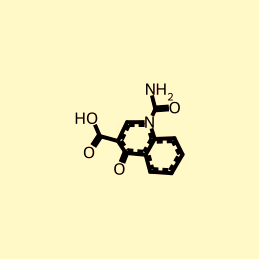 NC(=O)n1cc(C(=O)O)c(=O)c2ccccc21